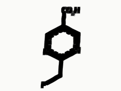 O=C(O)c1cnc(CF)nc1